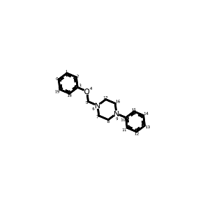 c1ccc(OCN2CCN(c3ccccc3)CC2)cc1